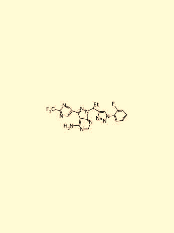 CCC(c1cn(-c2ccccc2F)nn1)n1nc(-c2cnc(C(F)(F)F)nc2)c2c(N)ncnc21